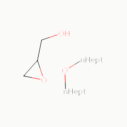 CCCCCCCOCCCCCCC.OCC1CO1